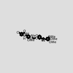 COc1cc(C2NC(=O)c3cc(Cl)ccc3N2)ccc1OCCCOc1cc(-c2cc(-c3cc(OC)c(OC)c(OC)c3)no2)ccc1OC